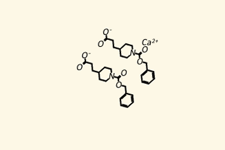 O=C([O-])CCC1CCN(C(=O)OCc2ccccc2)CC1.O=C([O-])CCC1CCN(C(=O)OCc2ccccc2)CC1.[Ca+2]